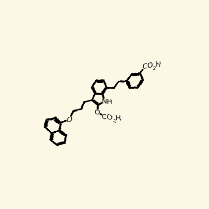 O=C(O)Oc1[nH]c2c(CCc3cccc(C(=O)O)c3)cccc2c1CCCOc1cccc2ccccc12